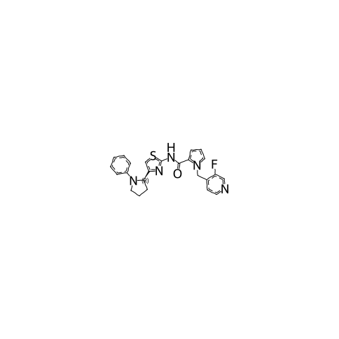 O=C(Nc1nc([C@H]2CCCN2c2ccccc2)cs1)c1cccn1Cc1ccncc1F